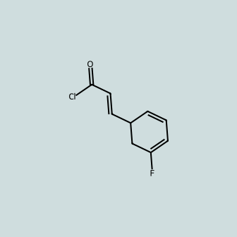 O=C(Cl)C=CC1C=CC=C(F)C1